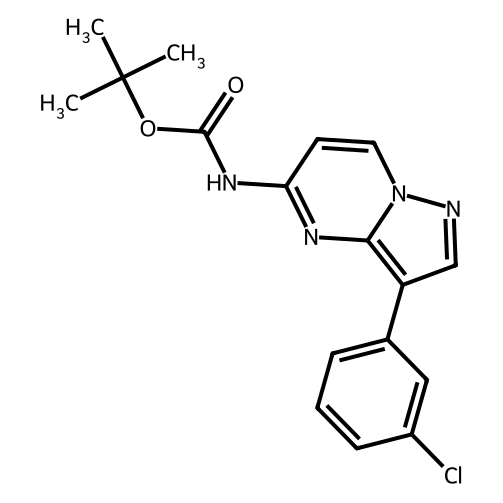 CC(C)(C)OC(=O)Nc1ccn2ncc(-c3cccc(Cl)c3)c2n1